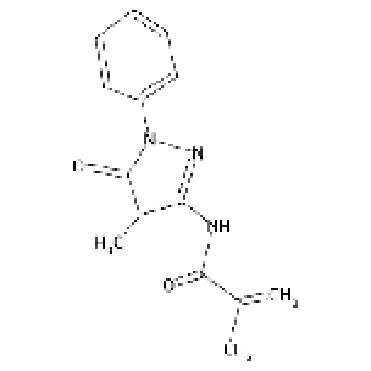 C=C(C)C(=O)NC1=NN(c2ccccc2)C(=O)C1C